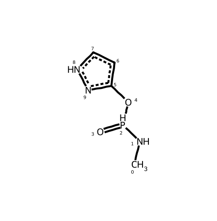 CN[PH](=O)Oc1cc[nH]n1